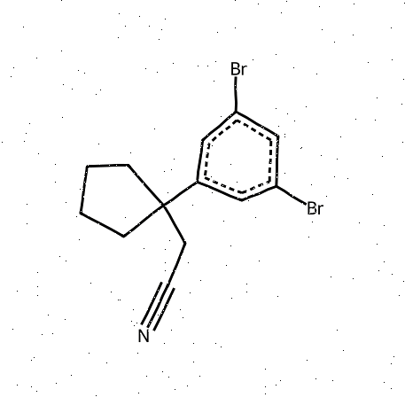 N#CCC1(c2cc(Br)cc(Br)c2)CCCC1